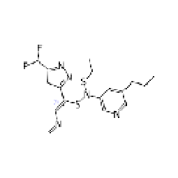 C=N/C=C(\SN(SCC)c1cncc(CCC)c1)C1=NN=C(C(F)F)C1